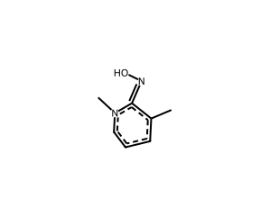 Cc1cccn(C)c1=NO